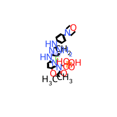 C=C(/N=C(Nc1ccc2c(n1)N(COP(=O)(O)O)C(=O)C(C)(C)O2)\C(F)=C/N)Nc1ccc(N2CCOCC2)cc1